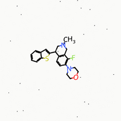 CN1Cc2c(ccc(N3CCOCC3)c2F)C(c2cc3ccccc3s2)C1